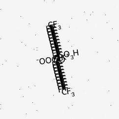 O=C([O-])CC(C(=O)OC(F)(F)C(F)(F)C(F)(F)C(F)(F)C(F)(F)C(F)(F)C(F)(F)C(F)(F)C(F)(F)C(F)(F)F)(C(F)(F)C(F)(F)C(F)(F)C(F)(F)C(F)(F)C(F)(F)C(F)(F)C(F)(F)C(F)(F)C(F)(F)F)S(=O)(=O)O.[K+]